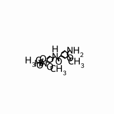 COc1cc(C(=O)Nc2ccc(NS(C)(=O)=O)c(OC)c2)ccc1N